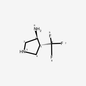 N[C@@H]1CNC[C@H]1C(F)(F)F